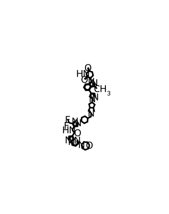 Cc1nn(C2CCC(=O)NC2=O)c2cccc(-c3cnn(C4CC5CN(CC6CCC(n7cc(NC(=O)c8cnn9ccc(N%10CCCOCC%10)nc89)c(C(F)F)n7)CC6)CC5C4)c3)c12